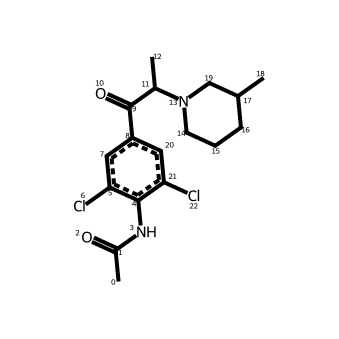 CC(=O)Nc1c(Cl)cc(C(=O)C(C)N2CCCC(C)C2)cc1Cl